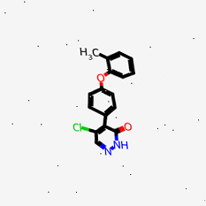 Cc1ccccc1Oc1ccc(-c2c(Cl)cn[nH]c2=O)cc1